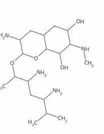 CNC1C(O)CC2CC(N)C(OC(C)C(N)CC(N)C(C)C)OC2C1O